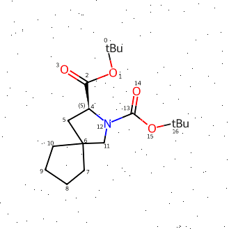 CC(C)(C)OC(=O)[C@@H]1CC2(CCCC2)CN1C(=O)OC(C)(C)C